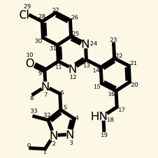 CCn1ncc(CN(C)C(=O)c2nc(-c3cc(CNC)ccc3C)nc3ccc(Cl)cc23)c1C